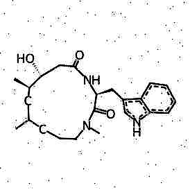 CC1CCCN(C)C(=O)[C@H](Cc2c[nH]c3ccccc23)NC(=O)C[C@@H](O)[C@H](C)C1